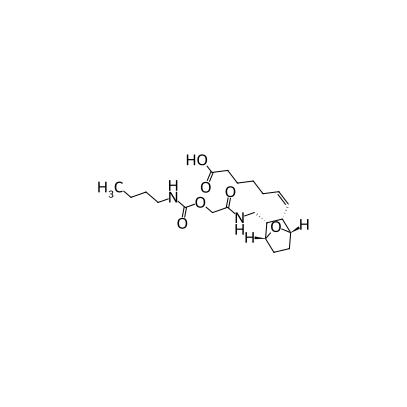 CCCCNC(=O)OCC(=O)NC[C@@H]1[C@H](/C=C\CCCCC(=O)O)[C@@H]2CC[C@H]1O2